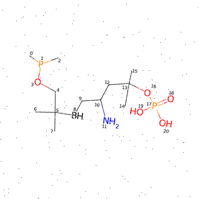 CP(C)OCC(C)(C)BCC(N)CC(C)(C)OP(=O)(O)O